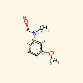 COc1cccc(N(C)C=O)c1